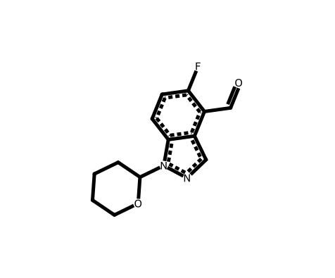 O=Cc1c(F)ccc2c1cnn2C1CCCCO1